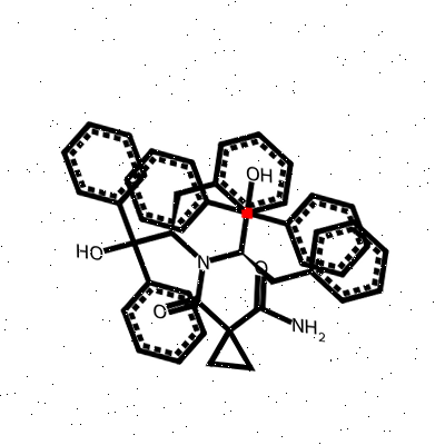 NC(=O)C1(C(=O)N([C@H](Cc2ccccc2)C(O)(c2ccccc2)c2ccccc2)[C@H](Cc2ccccc2)C(O)(c2ccccc2)c2ccccc2)CC1